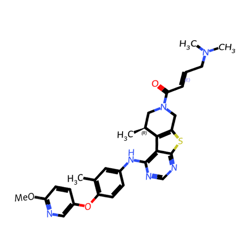 COc1ccc(Oc2ccc(Nc3ncnc4sc5c(c34)[C@@H](C)CN(C(=O)/C=C/CN(C)C)C5)cc2C)cn1